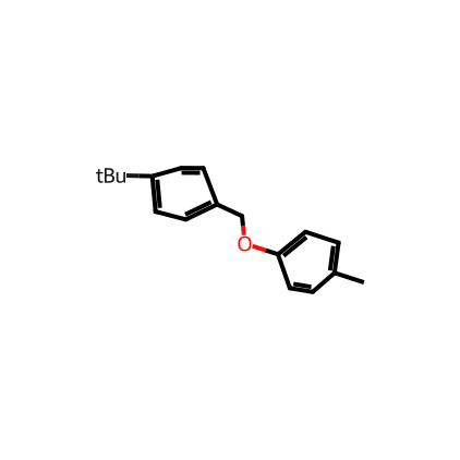 Cc1ccc(OCc2ccc(C(C)(C)C)cc2)cc1